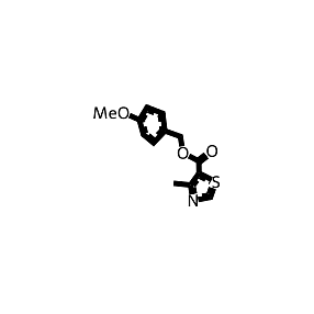 COc1ccc(COC(=O)c2scnc2C)cc1